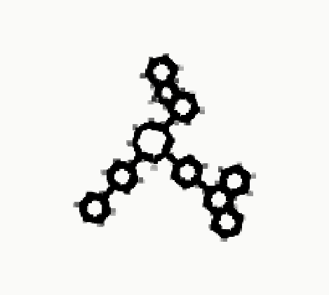 C1=C(c2ccc(-c3cc4ccccc4c4ccccc34)cc2)\N=C(\c2ccc(-c3ccccc3)cc2)CC\C=C/1c1cccc2c1oc1ccccc12